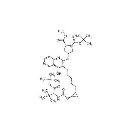 COC(=O)[C@@H]1C[C@@H](Oc2nc3ccncc3c(O)c2CCCCC[C@@H]2C[C@H]2OC(=O)NC(C(=O)OC(C)(C)C)C(C)(C)C)CN1C(=O)OC(C)(C)C